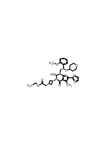 CCOC(=O)C[C@H]1C[C@@H](N2C(=O)c3c(sc(-c4ncco4)c3C)N(C[C@H](OC3CCOCC3)c3ccccc3OC)C2O)C1